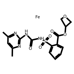 Cc1cc(C)nc(NC(=O)NS(=O)(=O)c2ccccc2C(=O)OC2COC2)n1.[Fe]